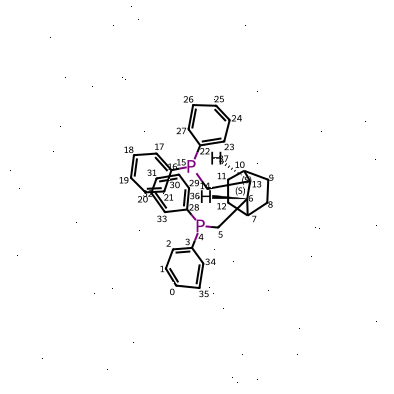 c1ccc(P(C[C@H]2C3CCC(CC3)[C@@H]2CP(c2ccccc2)c2ccccc2)c2ccccc2)cc1